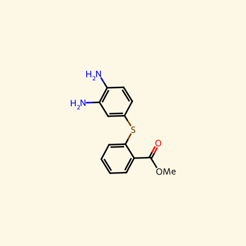 COC(=O)c1ccccc1Sc1ccc(N)c(N)c1